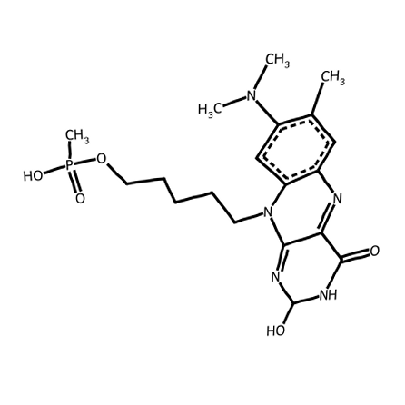 Cc1cc2c(cc1N(C)C)N(CCCCCOP(C)(=O)O)C1=NC(O)NC(=O)C1=N2